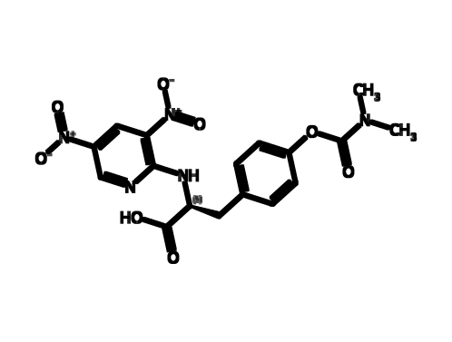 CN(C)C(=O)Oc1ccc(C[C@H](Nc2ncc([N+](=O)[O-])cc2[N+](=O)[O-])C(=O)O)cc1